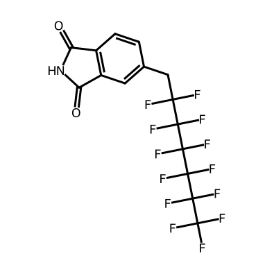 O=C1NC(=O)c2cc(CC(F)(F)C(F)(F)C(F)(F)C(F)(F)C(F)(F)C(F)(F)F)ccc21